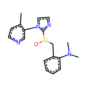 Cc1ccncc1-n1ccnc1[S+]([O-])Cc1ccccc1N(C)C